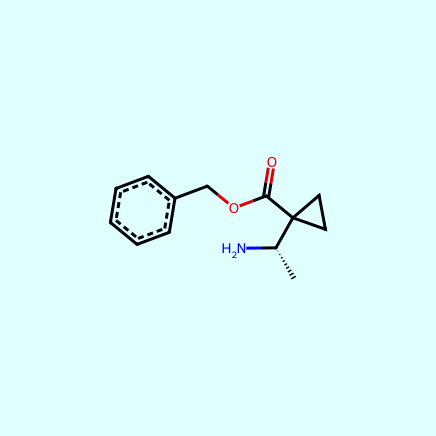 C[C@H](N)C1(C(=O)OCc2ccccc2)CC1